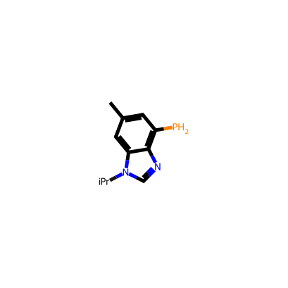 Cc1cc(P)c2ncn(C(C)C)c2c1